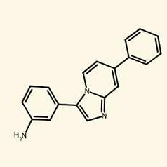 Nc1cccc(-c2cnc3cc(-c4ccccc4)ccn23)c1